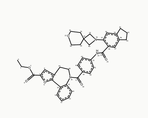 CCOC(=O)c1cc2c(o1)-c1ccccc1N(C(=O)c1ccc(NC(=O)c3cc4c(cc3N3CC5(CCOCC5)C3)CCC4)cc1)CC2